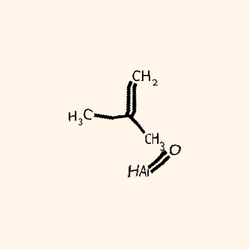 C=C(C)C.[O]=[AlH]